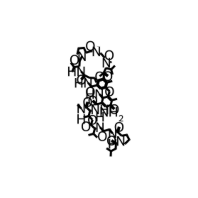 CNC(=O)C(NC(=O)C1=C(N)C(=O)C(C)=C2Oc3c(C)ccc(C(=O)NC4C(=O)NC(C(C)C)C(=O)N5CCCC5C(=O)N(C)CC(=O)N(C)C(C(C)C)C(=O)OC4C)c3NC21)C(C)OC(=O)C(NC(=O)CNC(=O)C1CCCN1C(=O)CC(C)C)C(C)C